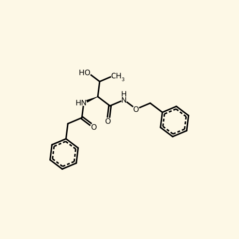 CC(O)[C@H](NC(=O)Cc1ccccc1)C(=O)NOCc1ccccc1